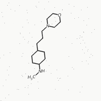 CNC1CCC(CCCN2CCOCC2)CC1